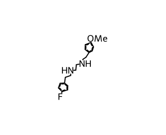 COc1ccc(CCNCCNCCc2ccc(F)cc2)cc1